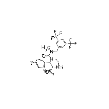 Cc1cc(F)ccc1C1C(C)NCCN1C(=O)N(C)Cc1cc(C(F)(F)F)cc(C(F)(F)F)c1